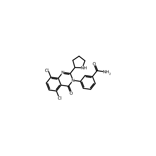 NC(=O)c1cccc(-n2c(C3CCCN3)nc3c(Cl)ccc(Cl)c3c2=O)c1